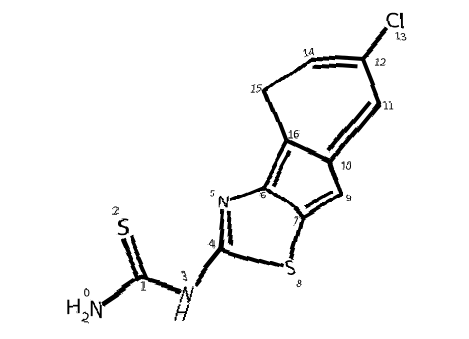 NC(=S)Nc1nc2c(s1)=CC1=CC(Cl)=CCC=21